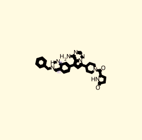 C/N=C1/C=C(c2cc(C3CCN(C(=O)C4CCC(=O)N4)CC3)n3ncnc(N)c23)C=C/C1=C/NCc1ccccc1